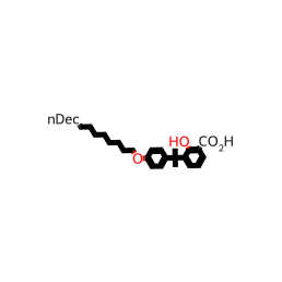 CCCCCCCCCCCCCCCCCCOc1ccc(C(C)(C)c2cccc(C(=O)O)c2O)cc1